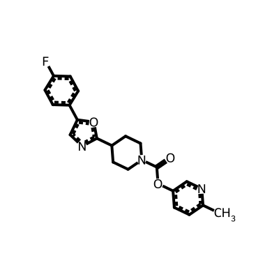 Cc1ccc(OC(=O)N2CCC(c3ncc(-c4ccc(F)cc4)o3)CC2)cn1